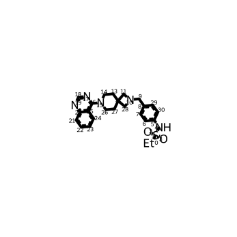 CCS(=O)(=O)Nc1ccc(CN2CC3(CCN(c4ncnc5ccccc45)CC3)C2)cc1